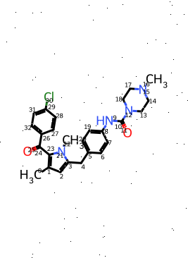 Cc1cc(Cc2ccc(NC(=O)N3CCN(C)CC3)cc2)n(C)c1C(=O)c1ccc(Cl)cc1